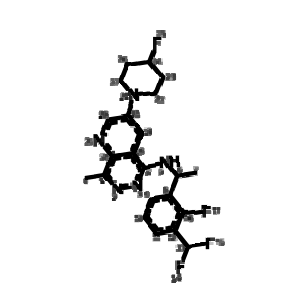 Cc1nnc(NC(C)c2cccc(C(F)F)c2F)c2cc(N3CCC(F)CC3)cnc12